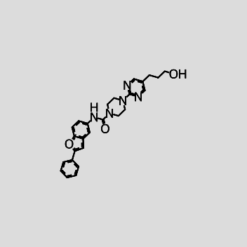 O=C(Nc1ccc2oc(-c3ccccc3)cc2c1)N1CCN(c2ncc(CCCO)cn2)CC1